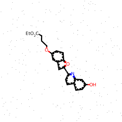 CCOC(=O)CCCOc1ccc2oc(-c3ccc4ccc(O)cc4n3)cc2c1